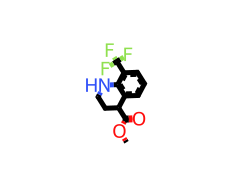 COC(=O)C1CCNc2c1cccc2C(F)(F)F